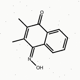 CC1=C(C)/C(=N/O)c2ccccc2C1=O